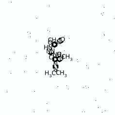 COc1cc(N2CCOCC2)ccc1Nc1ncc(Cl)c(Nc2ccc(N3CCN(C(C)C)CC3)c3c2C(=O)N(C)CC3)n1